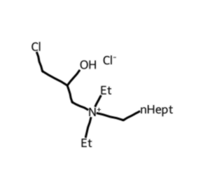 CCCCCCCC[N+](CC)(CC)CC(O)CCl.[Cl-]